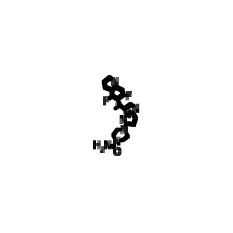 C[C@@H](c1c(F)cc2ncccc2c1F)c1cnc2ccc(N3CCN(C(N)=O)CC3)nn12